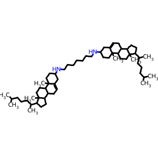 CC(C)CCCC(C)C1CCC2C3CC=C4CC(NCCCCCCCNC5CCC6(C)C(=CCC7C6CCC6(C)C(C(C)CCCC(C)C)CCC76)C5)CCC4(C)C3CCC12C